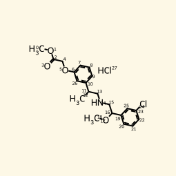 COC(=O)COc1cccc(C(C)CNCC(OC)c2cccc(Cl)c2)c1.Cl